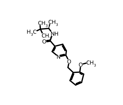 COc1ccccc1COc1ccc(C(=O)N[C@H](C)C(C)(C)C)cn1